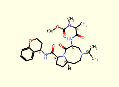 C[C@H](N1CC[C@H]2CC[C@@H](C(=O)N[C@@H]3CCOc4ccccc43)N2C(=O)[C@@H](NC(=O)[C@H](C)N(C)C(=O)OC(C)(C)C)C1)C(F)(F)F